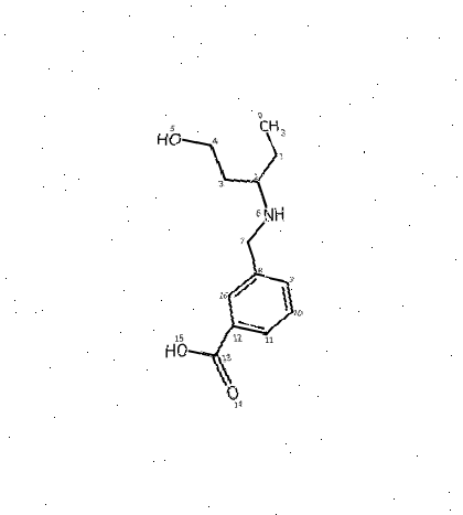 CCC(CCO)NCc1cccc(C(=O)O)c1